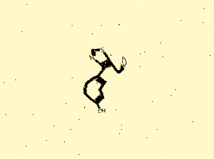 O=Cc1scnc1-c1ccc(O)cc1